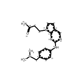 CN(C)Cc1ccc(Nc2ncc3ccn(CCC(N)=O)c3n2)cc1